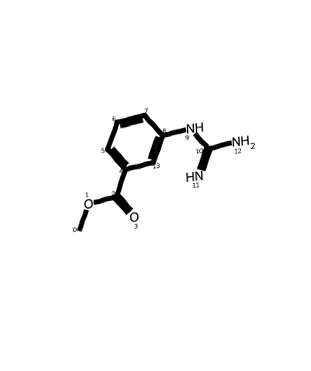 COC(=O)c1cccc(NC(=N)N)c1